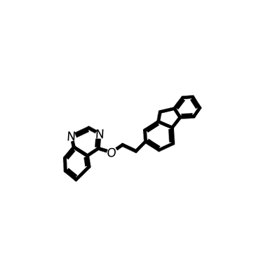 c1ccc2c(c1)Cc1cc(CCOc3ncnc4ccccc34)ccc1-2